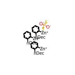 CCCCCCCCCCc1cccc[c]1[Zn+].CCCCCCCCCCc1cccc[c]1[Zn+].CCCCCCCCCCc1cccc[c]1[Zn+].[O-]P([O-])(=S)[S-]